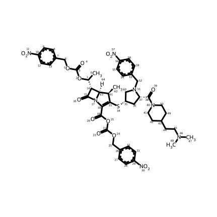 CC(OC(=O)OCc1ccc([N+](=O)[O-])cc1)[C@H]1C(=O)N2C(C(=O)OC(=O)OCc3ccc([N+](=O)[O-])cc3)=C(S[C@H]3C[C@@H](C(=O)N4CCC(CCN(C)C)CC4)N(Cc4ccc([N+](=O)[O-])cc4)C3)[C@H](C)[C@H]12